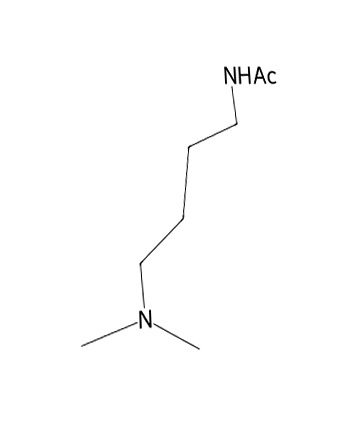 CC(=O)NCCCCN(C)C